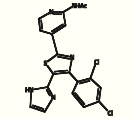 CC(=O)Nc1cc(-c2nc(-c3ccc(Cl)cc3Cl)c(-c3ncc[nH]3)s2)ccn1